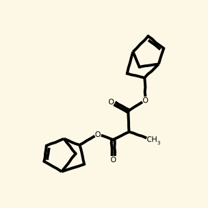 CC(C(=O)OC1CC2C=CC1C2)C(=O)OC1CC2C=CC1C2